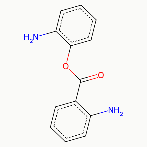 Nc1ccccc1OC(=O)c1ccccc1N